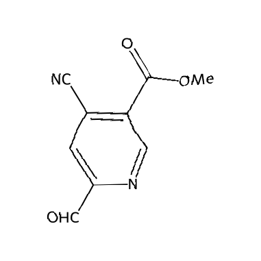 COC(=O)c1cnc(C=O)cc1C#N